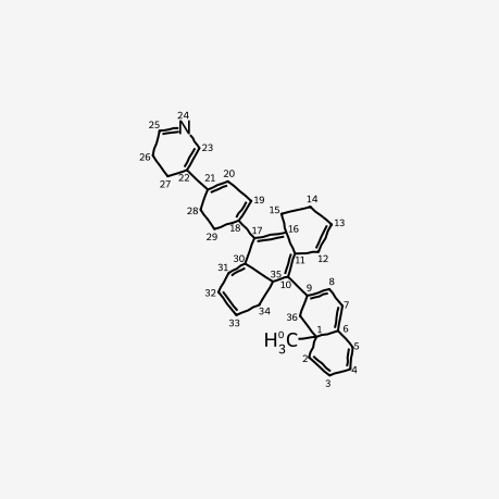 CC12C=CC=CC1=CC=C(C1=C3C=CCCC3=C(C3=CC=C(C4=CN=CCC4)CC3)C3=CC=CCC31)C2